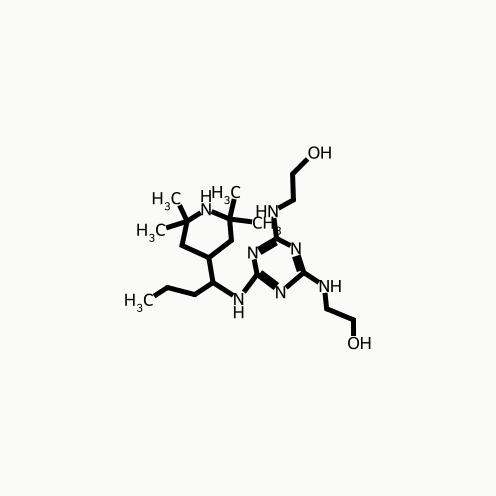 CCCC(Nc1nc(NCCO)nc(NCCO)n1)C1CC(C)(C)NC(C)(C)C1